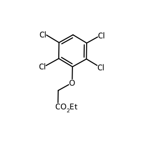 CCOC(=O)COc1c(Cl)c(Cl)cc(Cl)c1Cl